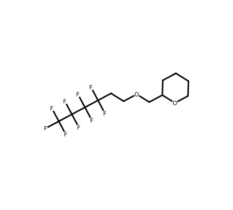 FC(F)(F)C(F)(F)C(F)(F)C(F)(F)CCOCC1CCCCO1